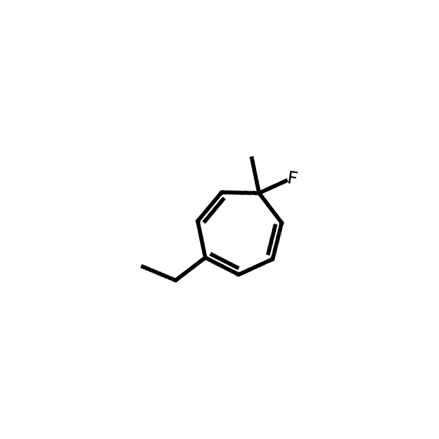 CCC1=CC=CC(C)(F)C=C1